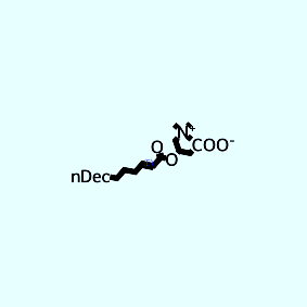 CCCCCCCCCCCCC/C=C/C(=O)OC(CC(=O)[O-])C[N+](C)(C)C